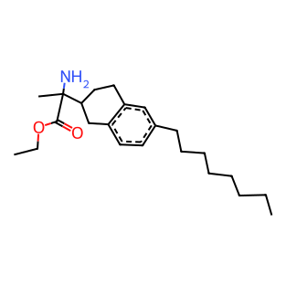 CCCCCCCCc1ccc2c(c1)CCC(C(C)(N)C(=O)OCC)C2